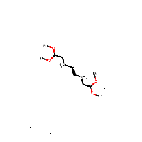 CCOC(C[SiH2]C=C[SiH2]CC(OCC)OCC)OCC